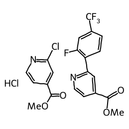 COC(=O)c1ccnc(-c2ccc(C(F)(F)F)cc2F)c1.COC(=O)c1ccnc(Cl)c1.Cl